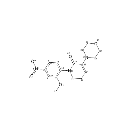 COc1cc([N+](=O)[O-])ccc1N1CCC=C(N2CCOCC2)C1=O